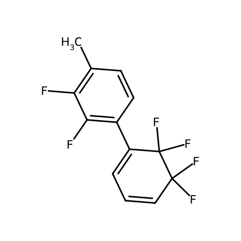 Cc1ccc(C2=CC=CC(F)(F)C2(F)F)c(F)c1F